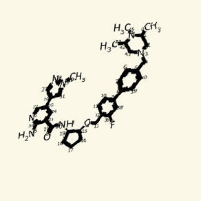 CC1CN(Cc2ccc(-c3ccc(CO[C@H]4CCC[C@@H]4NC(=O)c4cc(-c5cnn(C)c5)cnc4N)c(F)c3)cc2)CC(C)N1C